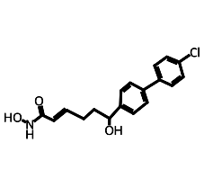 O=C(C=CCCC(O)c1ccc(-c2ccc(Cl)cc2)cc1)NO